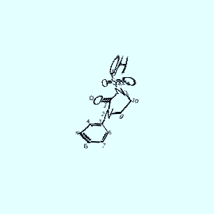 O=C1N(c2ccccc2)CCN1S(=O)(=O)O